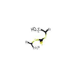 CCC(SC(=S)SC(CC)C(=O)O)C(=O)O